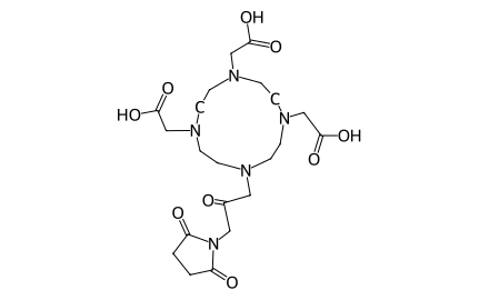 O=C(O)CN1CCN(CC(=O)O)CCN(CC(=O)CN2C(=O)CCC2=O)CCN(CC(=O)O)CC1